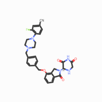 N#Cc1ccc(N2CCN(Cc3ccc(COc4cccc5c4CN([C@@H]4NCC(=O)NC4=O)C5=O)cc3)CC2)c(F)c1